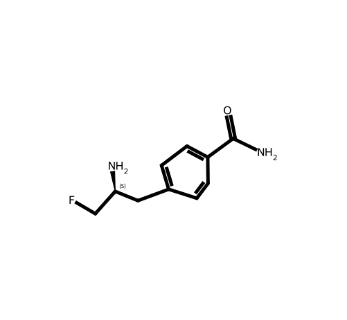 NC(=O)c1ccc(C[C@H](N)CF)cc1